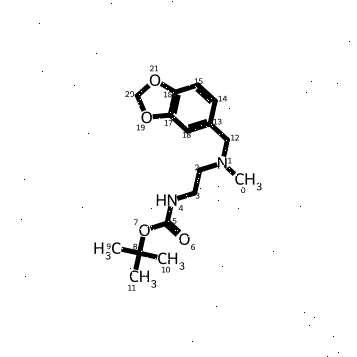 CN(CCNC(=O)OC(C)(C)C)Cc1ccc2c(c1)OCO2